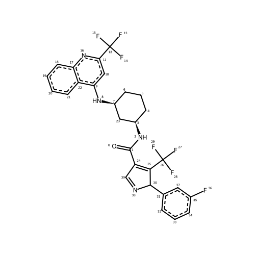 O=C(N[C@@H]1CCC[C@H](Nc2cc(C(F)(F)F)nc3ccccc23)C1)C1=C(C(F)(F)F)C(c2cccc(F)c2)N=C1